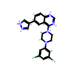 Fc1cc(F)cc(N2CCN(c3ncnc4ccc(-c5cn[nH]c5)cc34)CC2)c1